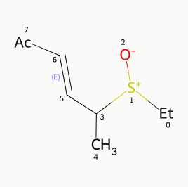 CC[S+]([O-])C(C)/C=C/C(C)=O